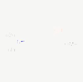 CCCCN(CCC)[C@H]1CCc2c(ccc(OC)c2O)C1